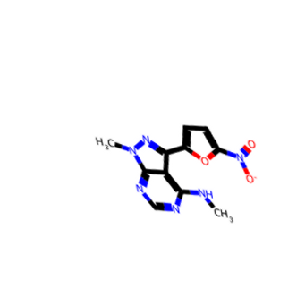 CNc1ncnc2c1c(-c1ccc([N+](=O)[O-])o1)nn2C